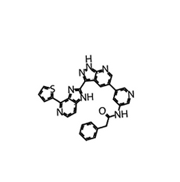 O=C(Cc1ccccc1)Nc1cncc(-c2cnc3[nH]nc(-c4nc5c(-c6cccs6)nccc5[nH]4)c3c2)c1